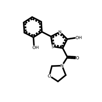 O=C(c1sc(-c2ccccc2O)nc1O)N1CCOC1